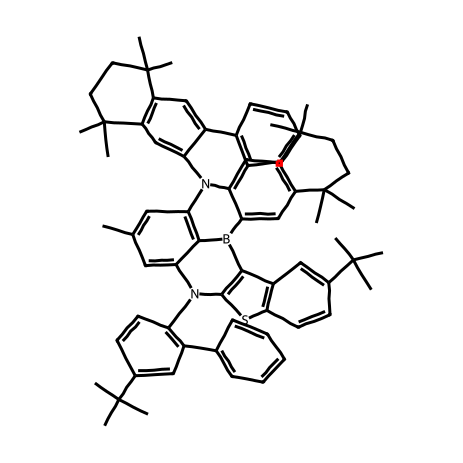 Cc1cc2c3c(c1)N(c1ccc(C(C)(C)C)cc1-c1ccccc1)c1sc4ccc(C(C)(C)C)cc4c1B3c1cc3c(cc1N2c1cc2c(cc1-c1ccccc1)C(C)(C)CCC2(C)C)C(C)(C)CCC3(C)C